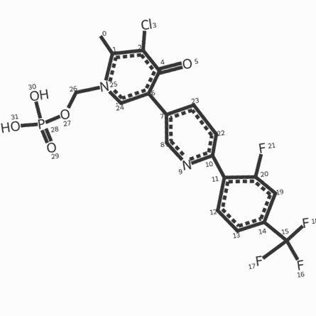 Cc1c(Cl)c(=O)c(-c2[c]nc(-c3ccc(C(F)(F)F)cc3F)cc2)[c]n1COP(=O)(O)O